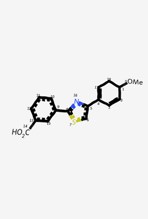 COC1C=CC(c2csc(-c3cccc(C(=O)O)c3)n2)=CC1